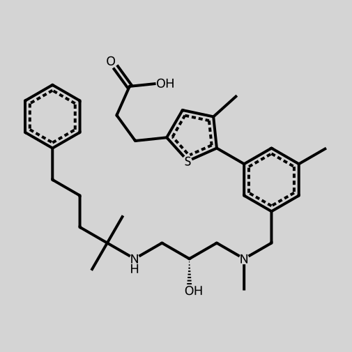 Cc1cc(CN(C)C[C@H](O)CNC(C)(C)CCCc2ccccc2)cc(-c2sc(CCC(=O)O)cc2C)c1